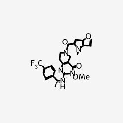 COn1c(N[C@@H](C)c2ccc(C(F)(F)F)cc2)nc2c(c1=O)CN(C(=O)c1cc3occc3n1C)CC2